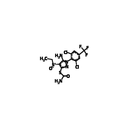 CC[S+]([O-])c1c(SC(N)=O)nn(-c2c(Cl)cc(C(F)(F)F)cc2Cl)c1N